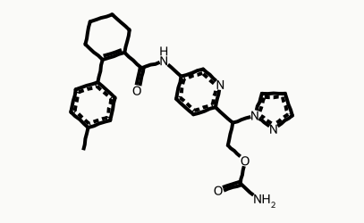 Cc1ccc(C2=C(C(=O)Nc3ccc(C(COC(N)=O)n4cccn4)nc3)CCCC2)cc1